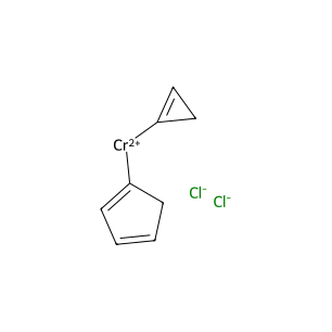 C1=CC[C]([Cr+2][C]2=CC2)=C1.[Cl-].[Cl-]